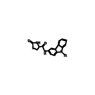 CCn1c2ccccc2c2cc(NC(=O)C3CSC(=O)N3)ccc21